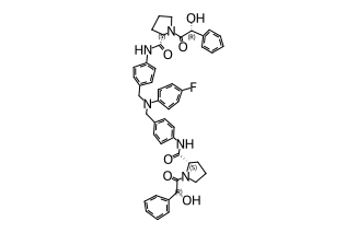 O=C(Nc1ccc(CN(Cc2ccc(NC(=O)[C@@H]3CCCN3C(=O)[C@H](O)c3ccccc3)cc2)c2ccc(F)cc2)cc1)[C@@H]1CCCN1C(=O)[C@H](O)c1ccccc1